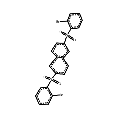 O=S(=O)(c1ccc2cc(S(=O)(=O)c3ccccc3Br)ccc2c1)c1ccccc1Br